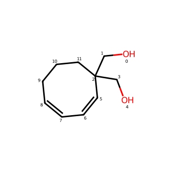 OCC1(CO)C=CC=CCCC1